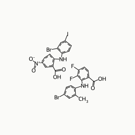 Cc1cc(Br)ccc1Nc1c(C(=O)O)ccc(F)c1F.O=C(O)c1cc([N+](=O)[O-])ccc1Nc1ccc(I)cc1Br